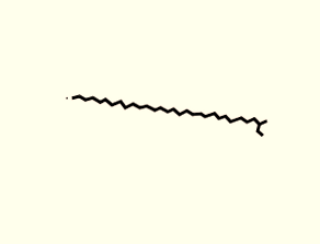 [CH2]CCCCCCCCCCCCCCCCCCCCCCCCCCCC(C)CC